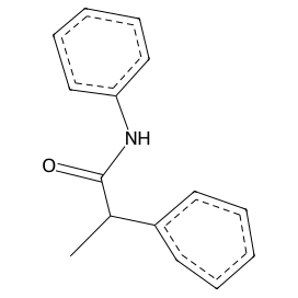 CC(C(=O)Nc1ccccc1)c1ccccc1